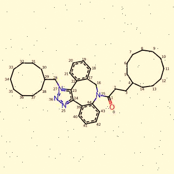 O=C(CCC1CCCCCCCCCC1)N1Cc2ccccc2-c2c(nnn2CC2CCCCCCCCC2)-c2ccccc21